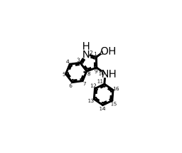 Oc1[nH]c2ccccc2c1Nc1ccccc1